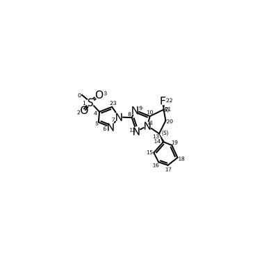 CS(=O)(=O)c1cnn(-c2nc3n(n2)[C@H](c2ccccc2)C[C@@H]3F)c1